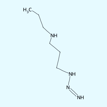 CCCNCCCNN=N